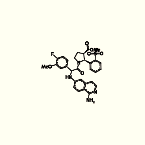 COC(=O)[C@@H]1CCN(C(=O)C(Nc2ccc3c(N)nccc3c2)c2ccc(F)c(OC)c2)[C@@H]1c1ccccc1S(=O)(=O)C(C)C